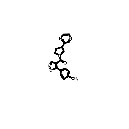 Cc1ccc(-c2oncc2C(=O)N2CCC(c3cnccn3)C2)cc1